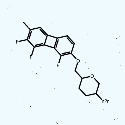 CCCC1CCC(COc2ccc3c(c2F)-c2c-3cc(C)c(F)c2F)OC1